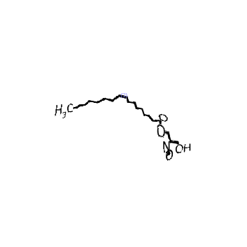 CCCCCCCC/C=C\CCCCCCCC(=O)OCC(CO)N=O